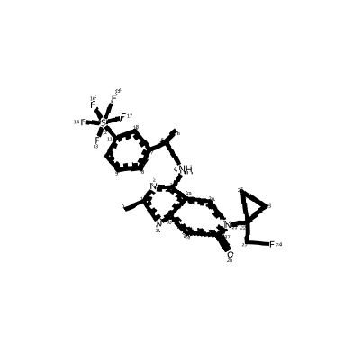 Cc1nc(NC(C)c2cccc(S(F)(F)(F)(F)F)c2)c2cn(C3(CF)CC3)c(=O)cc2n1